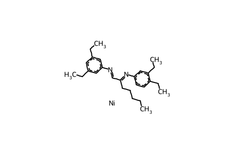 CCCCCC(C=Nc1cc(CC)cc(CC)c1)=Nc1ccc(CC)c(CC)c1.[Ni]